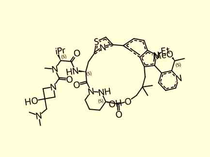 CCn1c(-c2cccnc2[C@H](C)OC)c2c3cc(ccc31)-c1csc(n1)C[C@H](NC(=O)[C@H](C(C)C)N(C)C(=O)N1CC(O)(CN(C)C)C1)C(=O)N1CCC[C@@](O)(N1)C(=O)OCC(C)(C)C2